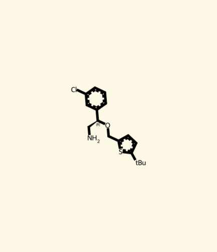 CC(C)(C)c1ccc(CO[C@@H](CN)c2cccc(Cl)c2)s1